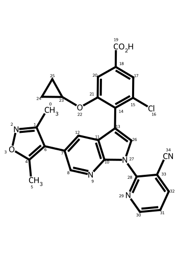 Cc1noc(C)c1-c1cnc2c(c1)c(-c1c(Cl)cc(C(=O)O)cc1OC1CC1)cn2-c1ncccc1C#N